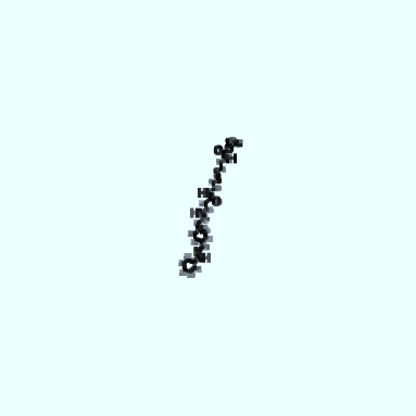 CC(C)(C)OC(=O)NCCSSCCNC(=O)CCNCC[n+]1ccc(/C=N/Nc2ccccc2)cc1